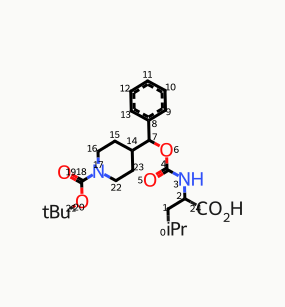 CC(C)CC(NC(=O)OC(c1ccccc1)C1CCN(C(=O)OC(C)(C)C)CC1)C(=O)O